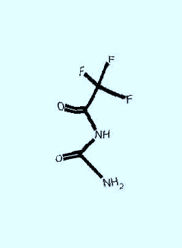 NC(=O)NC(=O)C(F)(F)F